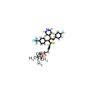 CC(C)(C)[Si](C)(C)OCCC#Cc1sc(-c2ccc(F)cc2)c(-c2ccncc2)c1-c1ccc(C(F)(F)F)cc1